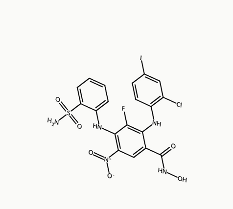 NS(=O)(=O)c1ccccc1Nc1c([N+](=O)[O-])cc(C(=O)NO)c(Nc2ccc(I)cc2Cl)c1F